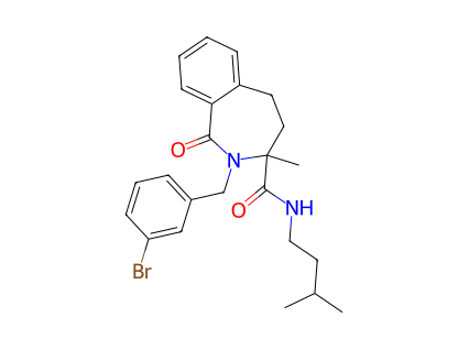 CC(C)CCNC(=O)C1(C)CCc2ccccc2C(=O)N1Cc1cccc(Br)c1